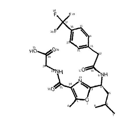 Cc1oc([C@H](CC(C)C)NC(=O)Cc2ccc(C(F)(F)F)cc2)nc1C(=O)NCC(=O)O